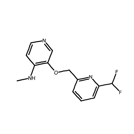 CNc1ccncc1OCc1cccc(C(F)F)n1